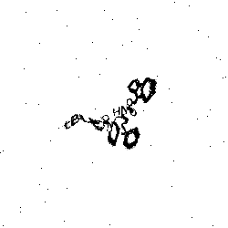 CC(C)(C)OC(=O)N1CCC[C@H]1C[C@H](CSc1ccccc1)NC(=O)OCC1c2ccccc2-c2ccccc21